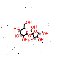 OCC1O[C@H](O[C@@]2(CO)O[C@H](CO)C(O)[C@H]2O)C(O)[C@H](O)[C@@H]1O